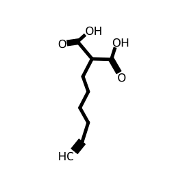 C#CCCCCC(C(=O)O)C(=O)O